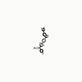 CC(=O)OC(c1ccc(F)cc1)c1cnc(N2CCN(c3cnn4cc(-c5cnn(C)c5)ccc34)CC2)nc1